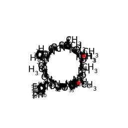 CC[C@H](C)[C@@H]1NC(=O)[C@H](CC(C)C)N(C)C(=O)CC(C)NC(=O)[C@H](CC(C)C)N(C)C(=O)C2(CCCC2)NC(=O)[C@@H]2CCCN2C(=O)[C@H](CCc2cc(F)c(C(F)(F)F)c(F)c2)NC(=O)CN(C)C(=O)[C@H](CC2CCCCC2)N(C)C(=O)CN(C)C(=O)CN(C)C1=O